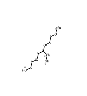 CC(C)(C)OCCOC(COCCO)PO